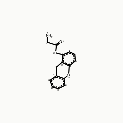 NCC(=O)Oc1cccc2c1Cc1ccccc1O2